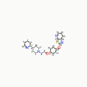 c1ccc(C2CCN(CCOc3ccc(Oc4nc5cccnc5s4)cc3)CC2)nc1